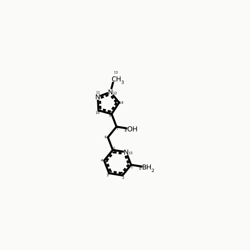 Bc1cccc(CC(O)c2cnn(C)c2)n1